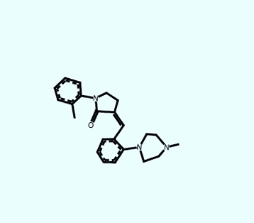 Cc1ccccc1N1CCC(=Cc2ccccc2N2CCN(C)CC2)C1=O